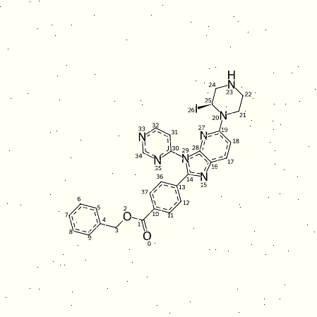 O=C(OCc1ccccc1)c1ccc(-c2nc3ccc(N4CCNC[C@@H]4I)nc3n2-c2ccncn2)cc1